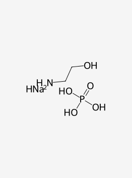 NCCO.O=P(O)(O)O.[NaH]